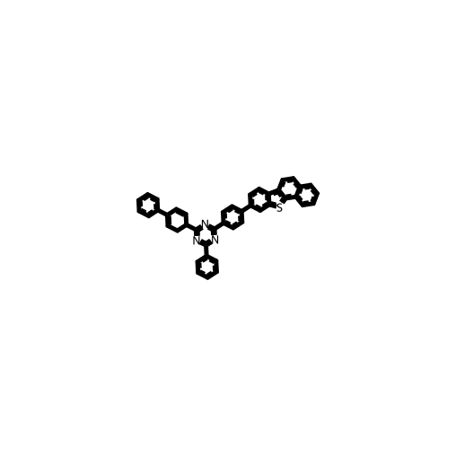 C1=CC(c2nc(-c3ccccc3)nc(-c3ccc(-c4ccc5c(c4)sc4c6ccccc6ccc54)cc3)n2)CC=C1c1ccccc1